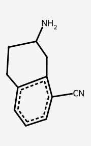 N#Cc1cccc2c1CC(N)CC2